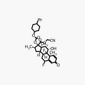 CC(C)C1CCC(OC(=O)O[C@]2(C(=O)OCC#N)[C@H](C)C[C@H]3[C@@H]4CC(F)C5=CC(=O)C=C[C@]5(C)[C@@]4(F)[C@@H](O)C[C@@]32C)CC1